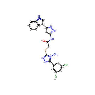 Nn1c(SCC(=O)Nc2cc(-c3c[nH]c4ccccc34)n[nH]2)nnc1-c1cc(Cl)cc(Cl)c1